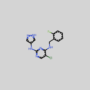 Fc1ccccc1CNc1nc(Nc2cn[nH]c2)ncc1Cl